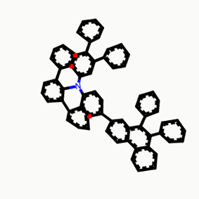 c1ccc(-c2ccc(N(c3ccc(-c4ccc5c(c4)c(-c4ccccc4)c(-c4ccccc4)c4ccccc45)cc3)c3c(-c4ccccc4)cccc3-c3ccccc3)cc2-c2ccccc2)cc1